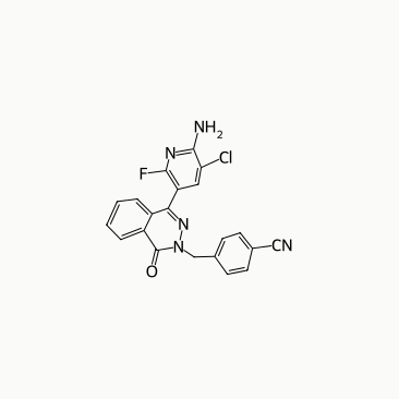 N#Cc1ccc(Cn2nc(-c3cc(Cl)c(N)nc3F)c3ccccc3c2=O)cc1